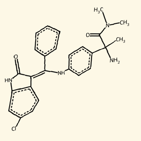 CN(C)C(=O)C(C)(N)c1ccc(NC(=C2C(=O)Nc3cc(Cl)ccc32)c2ccccc2)cc1